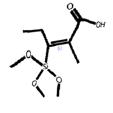 CC/C(=C(/C)C(=O)O)[Si](OC)(OC)OC